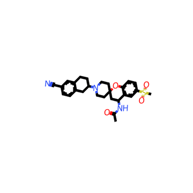 CC(=O)NC1CC2(CCN(C3CCc4cc(C#N)ccc4C3)CC2)Oc2ccc(S(C)(=O)=O)cc21